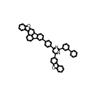 c1ccc(-c2cccc(-c3nc(-c4ccc(-c5ccc6c(c5)-c5cccc7c5c-6cc5oc6ccccc6c57)cc4)cc(-c4ccc5oc6ccccc6c5c4)n3)c2)cc1